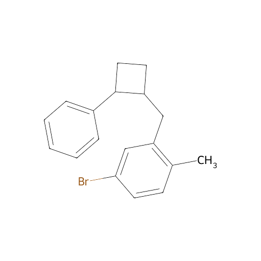 Cc1ccc(Br)cc1CC1CCC1c1ccccc1